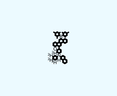 [2H]c1c([2H])c([2H])c(N(c2ccc3c(c2)Oc2cccc4c2c-3cc2c3ccccc3c(B(c3c(C)cc(C)cc3C)c3c(C)cc(C)cc3C)cc42)c2ccc3ccccc3c2)c([2H])c1[2H]